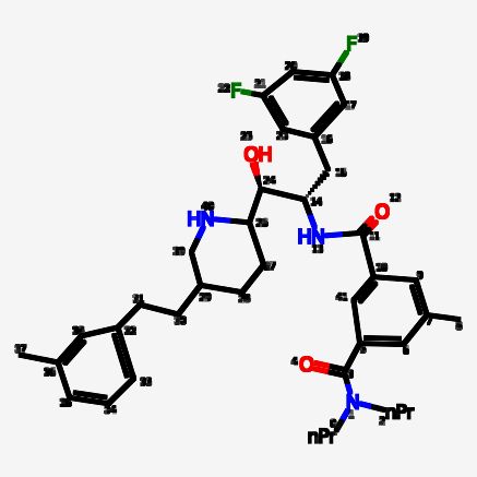 CCCN(CCC)C(=O)c1cc(C)cc(C(=O)N[C@@H](Cc2cc(F)cc(F)c2)[C@H](O)C2CCC(CCc3cccc(C)c3)CN2)c1